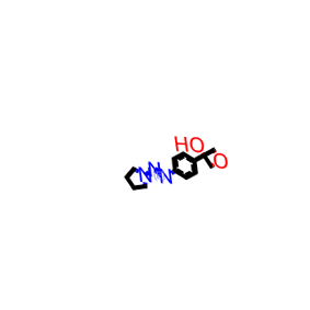 OC1(c2ccc(/N=N/N3CCCC3)cc2)COC1